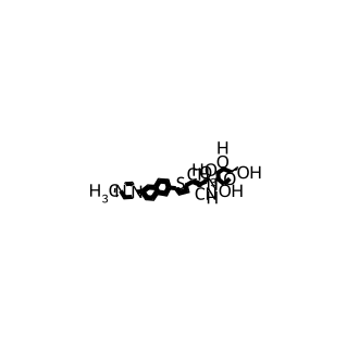 C/C(=C(/C#N)C(=O)N[C@H]1C(O)O[C@H](CO)[C@@H](O)[C@@H]1O)c1ccc(-c2ccc3cc(N4CCN(C)CC4)ccc3c2)s1